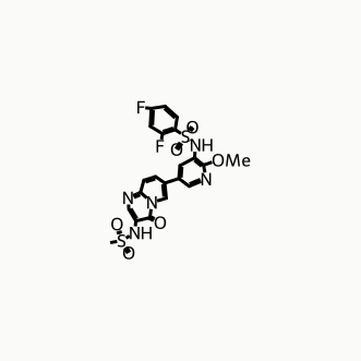 COc1ncc(-c2ccc3ncc(NS(C)(=O)=O)c(=O)n3c2)cc1NS(=O)(=O)c1ccc(F)cc1F